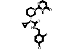 Cn1c(N2CCC[C@@H](N(C(=O)NCc3ccc(Cl)cc3F)C3CC3)C2)nccc1=O